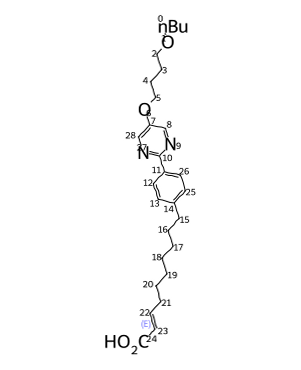 CCCCOCCCCOc1cnc(-c2ccc(CCCCCCC/C=C/C(=O)O)cc2)nc1